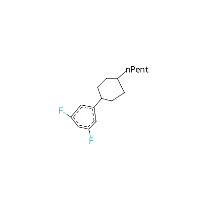 CCCCCC1CCC(c2cc(F)cc(F)c2)CC1